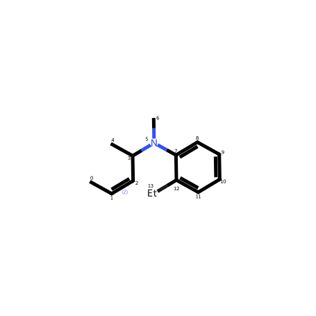 C/C=C\C(C)N(C)c1ccccc1CC